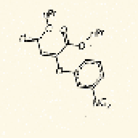 CCCOC(=O)C=C(Oc1cccc([N+](=O)[O-])c1)C(=O)OCCC